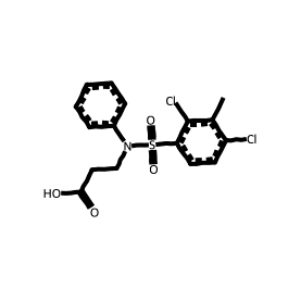 Cc1c(Cl)ccc(S(=O)(=O)N(CCC(=O)O)c2ccccc2)c1Cl